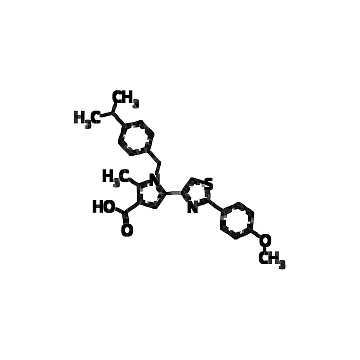 COc1ccc(-c2nc(-c3cc(C(=O)O)c(C)n3Cc3ccc(C(C)C)cc3)cs2)cc1